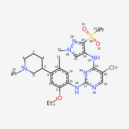 CCOc1cc(C2CCCN(C(C)C)C2)c(C)cc1Nc1ncc(Cl)c(Nc2cn(C)nc2S(=O)(=O)C(C)C)n1